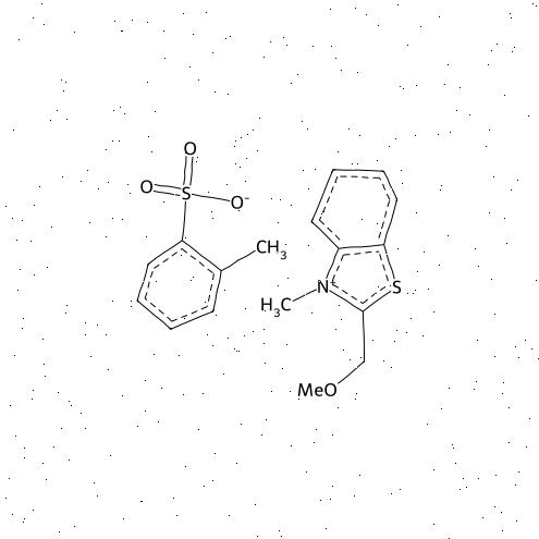 COCc1sc2ccccc2[n+]1C.Cc1ccccc1S(=O)(=O)[O-]